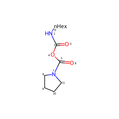 CCCCCCNC(=O)OC(=O)N1CCCC1